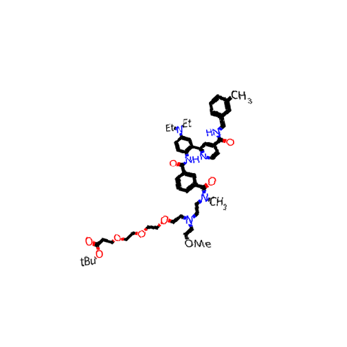 CCN(CC)c1ccc(NC(=O)c2cccc(C(=O)N(C)CCN(CCOC)CCOCCOCCOCCC(=O)OC(C)(C)C)c2)c(-c2cc(C(=O)NCc3cccc(C)c3)ccn2)c1